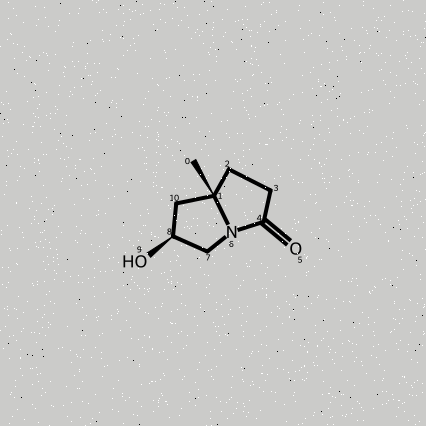 C[C@@]12CCC(=O)N1C[C@@H](O)C2